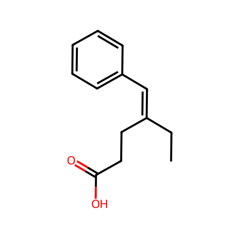 CCC(=Cc1ccccc1)CCC(=O)O